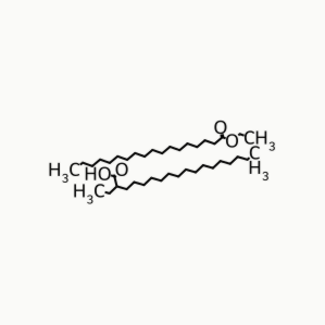 CCCCCCCCCCCCCCCCC(CC)C(=O)O.CCCCCCCCCCCCCCCCCC(=O)OCC